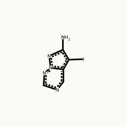 Nc1nn2ncncc2c1I